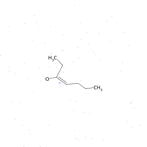 CCC/C=C(/[O])CC